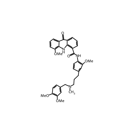 COc1cc(CCCN(C)Cc2ccc(OC)c(OC)c2)ccc1NC(=O)c1cccc2c(=O)c3cccc(OC)c3[nH]c12